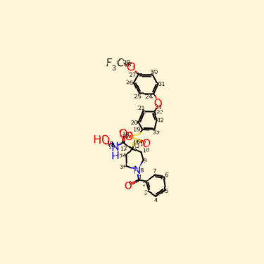 O=C(c1ccccc1)N1CCC(C(=O)NO)(S(=O)(=O)c2ccc(Oc3ccc(OC(F)(F)F)cc3)cc2)CC1